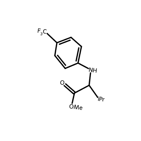 COC(=O)C(Nc1ccc(C(F)(F)F)cc1)C(C)C